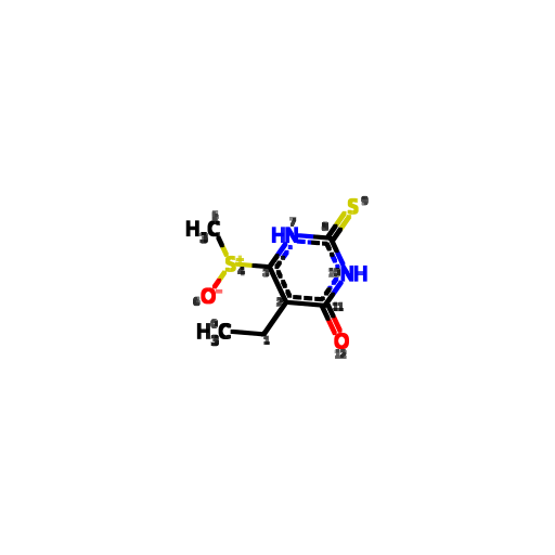 CCc1c([S+](C)[O-])[nH]c(=S)[nH]c1=O